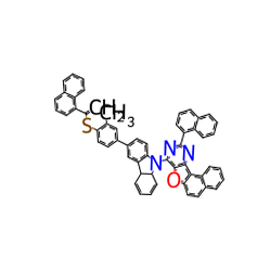 C=C(Sc1ccc(-c2ccc3c(c2)C2C=CC=CC2N3c2nc(-c3cccc4ccccc34)nc3c2oc2ccc4ccccc4c23)cc1C)c1cccc2ccccc12